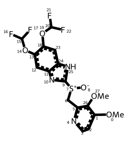 COc1ccnc(C[S+]([O-])c2nc3cc(OC(F)F)c(OC(F)F)cc3[nH]2)c1OC